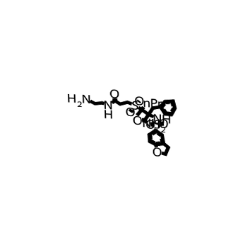 CCCC(C)(C(Cc1ccccc1)(NS(=O)(=O)c1ccc2c(c1)CCO2)C(N)=O)S(=O)(=O)CCC(=O)NCCN